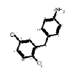 Nc1ccc(Cc2cc(Cl)ccc2Cl)cc1